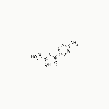 Nc1ccc(C(=O)CC(O)C(=O)O)cc1